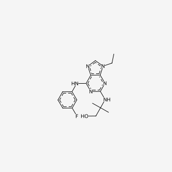 CCn1cnc2c(Nc3cccc(F)c3)nc(NC(C)(C)CO)nc21